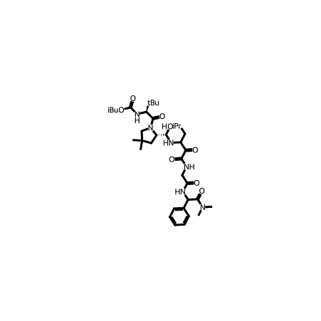 CC(C)COC(=O)N[C@H](C(=O)N1CC(C)(C)C[C@H]1C(O)NC(CC(C)C)C(=O)C(=O)NCC(=O)NC(C(=O)N(C)C)c1ccccc1)C(C)(C)C